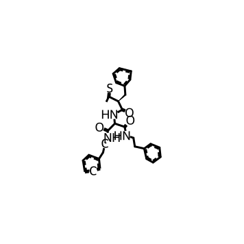 CC(=S)[C@@H](Cc1ccccc1)C(=O)NC(C(=O)NCCc1ccccc1)C(=O)NCCc1ccccc1